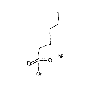 CCCCCS(=O)(=O)O.F